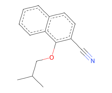 CC(C)COc1c(C#N)ccc2ccccc12